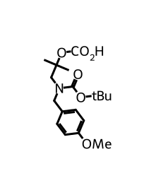 COc1ccc(CN(CC(C)(C)OC(=O)O)C(=O)OC(C)(C)C)cc1